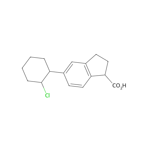 O=C(O)C1CCc2cc(C3CCCCC3Cl)ccc21